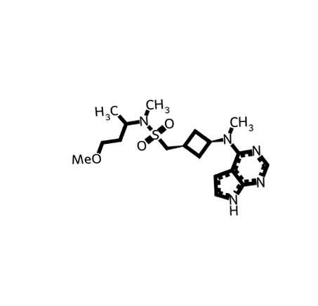 COCCC(C)N(C)S(=O)(=O)C[C@H]1C[C@@H](N(C)c2ncnc3[nH]ccc23)C1